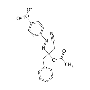 CC(=O)OC(CC#N)(Cc1ccccc1)/N=N/c1ccc([N+](=O)[O-])cc1